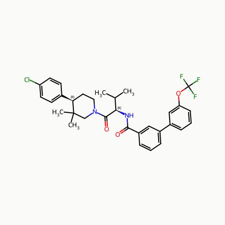 CC(C)[C@@H](NC(=O)c1cccc(-c2cccc(OC(F)(F)F)c2)c1)C(=O)N1CC[C@H](c2ccc(Cl)cc2)C(C)(C)C1